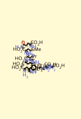 CC(C)C[C@H](N)C(=O)O.CC(C)[C@H](N)C(=O)O.CSCC[C@H](N)C(=O)O.C[C@H](N)C(=O)O.NC(=O)CC[C@H](N)C(=O)O.NCC(=O)O.N[C@@H](Cc1c[nH]c2ccccc12)C(=O)O.N[C@@H](Cc1c[nH]cn1)C(=O)O